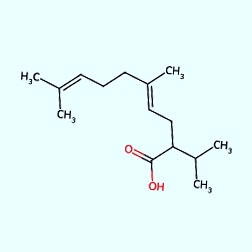 CC(C)=CCCC(C)=CCC(C(=O)O)C(C)C